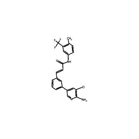 Cc1ccc(NC(=O)C=Cc2cccc(-c3cnc(N)c(Cl)c3)c2)cc1C(F)(F)F